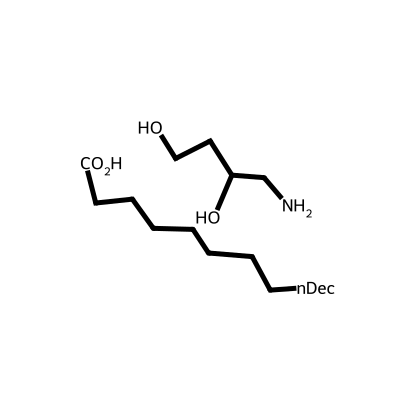 CCCCCCCCCCCCCCCCCC(=O)O.NCC(O)CCO